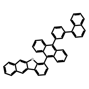 c1cc(-c2cccc3ccccc23)cc(-c2c3ccccc3c(-c3cccc4c3oc3cc5ccccc5cc34)c3ccccc23)c1